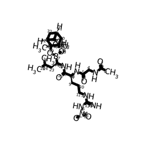 CC(=O)NCC(=O)N[C@@H](CCCNC(=N)N[N+](=O)[O-])C(=O)N[C@@H](CC(C)C)B1O[C@@H]2C[C@@H]3C[C@@H](C3(C)C)[C@]2(C)O1